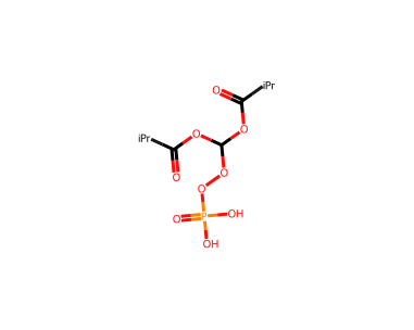 CC(C)C(=O)OC(OOP(=O)(O)O)OC(=O)C(C)C